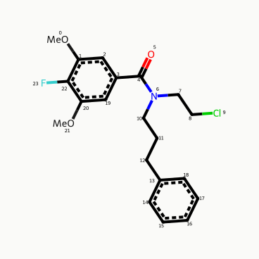 COc1cc(C(=O)N(CCCl)CCCc2ccccc2)cc(OC)c1F